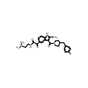 Cc1[nH]c2ccc(C(=O)C(=O)NCCN(C)C)cc2c1C(=O)N1CCC(Cc2ccc(F)cc2)CC1